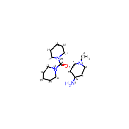 CN1CCC(N)CC1.O=C(N1CCCCC1)N1CCCCC1